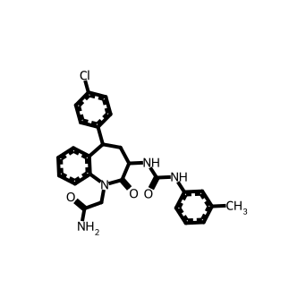 Cc1cccc(NC(=O)NC2CC(c3ccc(Cl)cc3)c3ccccc3N(CC(N)=O)C2=O)c1